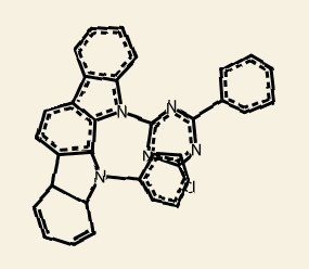 Clc1nc(-c2ccccc2)nc(-n2c3ccccc3c3ccc4c(c32)N(c2ccccc2)C2C=CC=CC42)n1